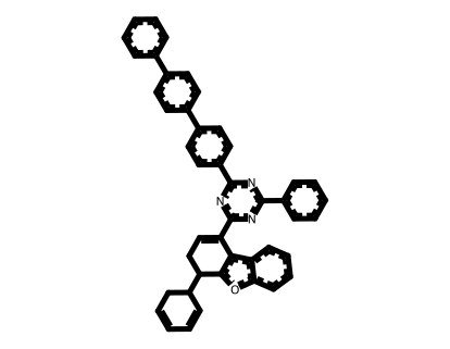 C1=CCC(C2CC=C(c3nc(-c4ccccc4)nc(-c4ccc(-c5ccc(-c6ccccc6)cc5)cc4)n3)c3c2oc2ccccc32)C=C1